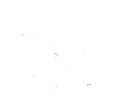 C=C(C)C(=O)OCC1CO1.[Ir]